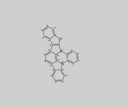 c1ccc2c(c1)B1c3oc4ccccc4c3-c3ccc4c5ccccc5n-2c4c31